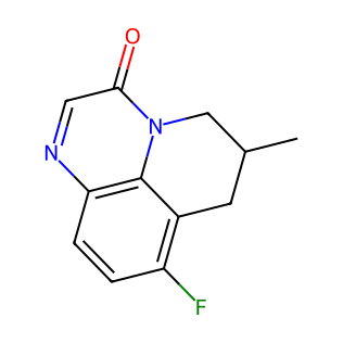 CC1Cc2c(F)ccc3ncc(=O)n(c23)C1